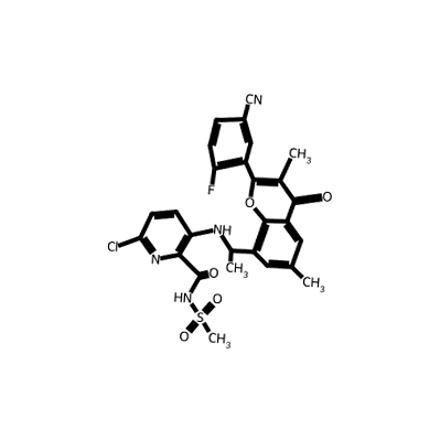 Cc1cc(C(C)Nc2ccc(Cl)nc2C(=O)NS(C)(=O)=O)c2oc(-c3cc(C#N)ccc3F)c(C)c(=O)c2c1